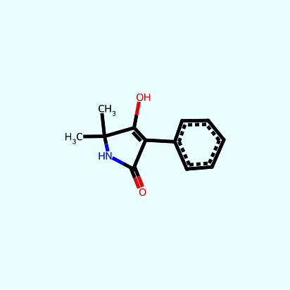 CC1(C)NC(=O)C(c2ccccc2)=C1O